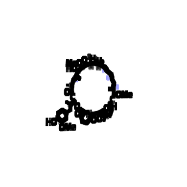 [2H]C1(C)[C@@H](C)C(=O)[C@H](OC)[C@H](O)/C(C)=C/[C@@H](C)C(=O)C[C@@H]([C@H](C)C[C@@H]2CC[C@@H](O)[C@H](OC)C2)OC(=O)[C@@H]2CCCCN2C(=O)C(=O)[C@]2(O)O[C@@H](CC[C@H]2C)C[C@H](OC)/C(C)=C/C=C/C=C/[C@@]1([2H])C